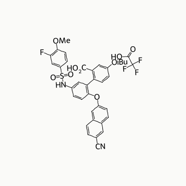 COc1ccc(S(=O)(=O)Nc2ccc(Oc3ccc4cc(C#N)ccc4c3)c(-c3ccc(OCC(C)C)cc3C(=O)O)c2)cc1F.O=C(O)C(F)(F)F